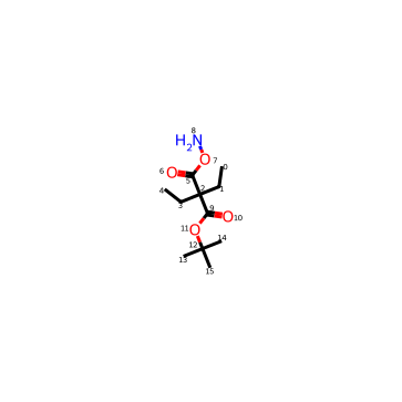 CCC(CC)(C(=O)ON)C(=O)OC(C)(C)C